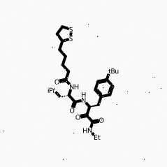 CCNC(=O)C(=O)[C@H](Cc1ccc(C(C)(C)C)cc1)NC(=O)[C@H](CC(C)C)NC(=O)CCCCC1CCSS1